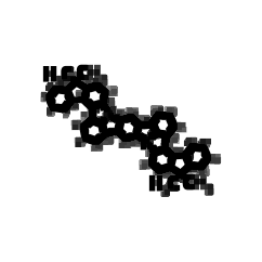 CC1(C)c2ccccc2-c2c1ccc1c2c2cccc3c4cc5c(cc4n1c32)c1cccc2c3c4c(ccc3n5c12)C(C)(C)c1ccccc1-4